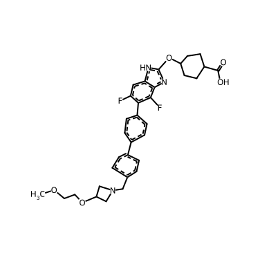 COCCOC1CN(Cc2ccc(-c3ccc(-c4c(F)cc5[nH]c(OC6CCC(C(=O)O)CC6)nc5c4F)cc3)cc2)C1